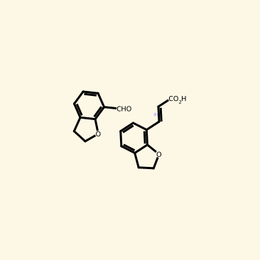 O=C(O)/C=C/c1cccc2c1OCC2.O=Cc1cccc2c1OCC2